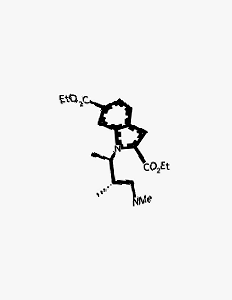 CCOC(=O)c1ccc2cc(C(=O)OCC)n([C@H](C)[C@@H](C)CNC)c2c1